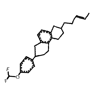 CC=CCCC1CCc2c(ccc3c2CCC(c2ccc(OC(F)F)cc2)C3)C1